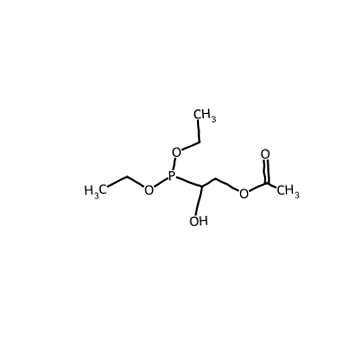 CCOP(OCC)C(O)COC(C)=O